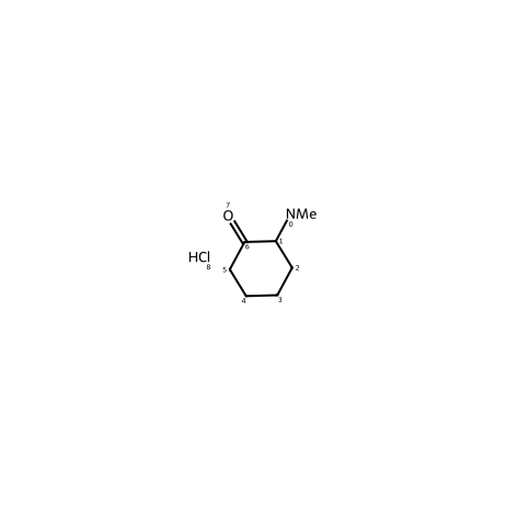 CNC1CCCCC1=O.Cl